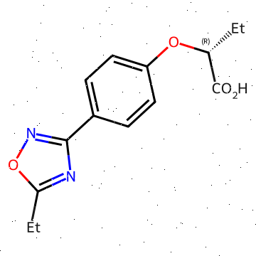 CCc1nc(-c2ccc(O[C@H](CC)C(=O)O)cc2)no1